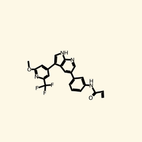 C=CC(=O)Nc1cccc(-c2cnc3[nH]cc(-c4cc(OC)nc(C(F)(F)F)c4)c3c2)c1